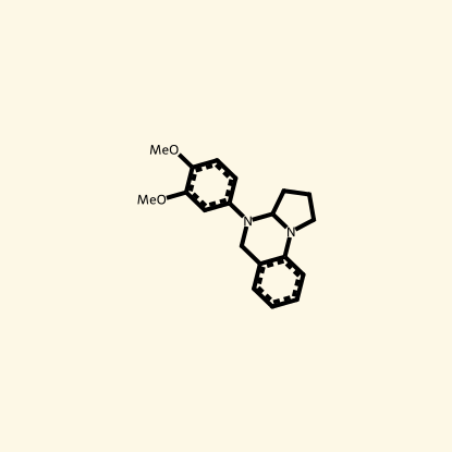 COc1ccc(N2Cc3ccccc3N3CCCC23)cc1OC